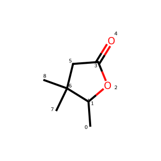 C[C]1OC(=O)CC1(C)C